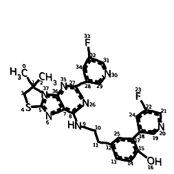 CC1(C)CSc2nc3c(NCCc4ccc(O)c(-c5cncc(F)c5)c4)nc(-c4cncc(F)c4)nc3n21